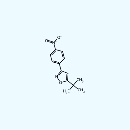 CC(C)(C)c1cc(-c2ccc([N+](=O)[O-])cc2)no1